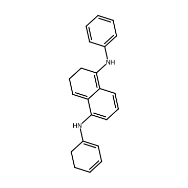 C1=CCCC(Nc2cccc3c2=CCCC=3Nc2ccccc2)=C1